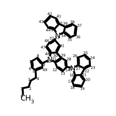 CCCCCc1cccc(-n2c3ccc(-n4c5ccccc5c5ccccc54)cc3c3cc(-n4c5ccccc5c5ccccc54)ccc32)c1